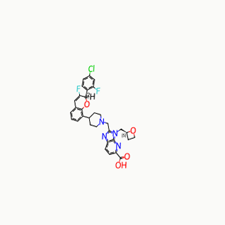 [2H][C@@]1(c2ccc(Cl)cc2F)Oc2c(cccc2C2CCN(Cc3nc4ccc(C(=O)O)nc4n3C[C@@H]3CCO3)CC2)C=C1F